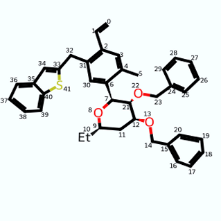 C=Cc1cc(C)c([C@@H]2O[C@H](CC)C[C@H](OCc3ccccc3)[C@H]2OCc2ccccc2)cc1Cc1cc2ccccc2s1